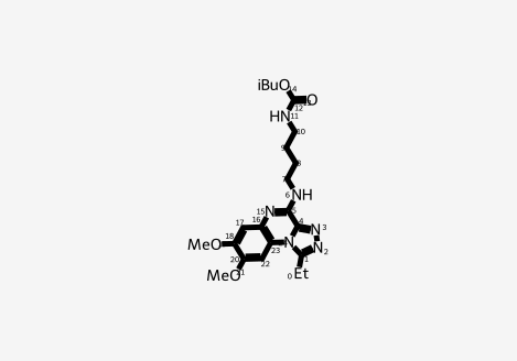 CCc1nnc2c(NCCCCNC(=O)OCC(C)C)nc3cc(OC)c(OC)cc3n12